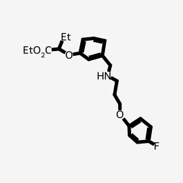 CCOC(=O)C(CC)Oc1cccc(CNCCCOc2ccc(F)cc2)c1